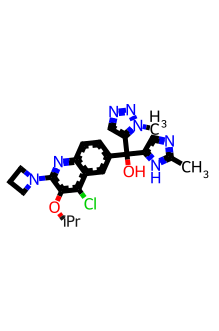 Cc1ncc(C(O)(c2ccc3nc(N4CCC4)c(OC(C)C)c(Cl)c3c2)c2cnnn2C)[nH]1